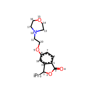 CC(C)C1OC(=O)c2ccc(OCCN3CCOCC3)cc21